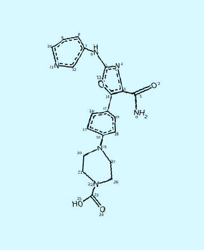 NC(=O)c1nc(Nc2cccnc2)oc1-c1ccc(N2CCN(C(=O)O)CC2)cc1